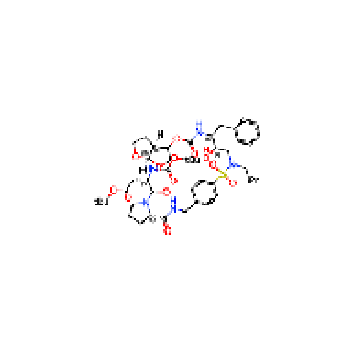 CC(C)CN(C[C@@H](O)[C@H](Cc1ccccc1)NC(=O)OC1CO[C@H]2OCC[C@@H]12)S(=O)(=O)c1ccc(CNC(=O)[C@@H]2CCCN2C(=O)[C@H](CC(=O)OC(C)(C)C)NC(=O)OC(C)(C)C)cc1